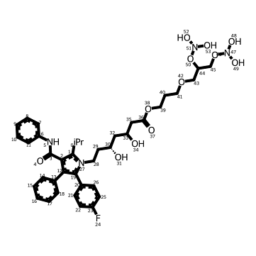 CC(C)c1c(C(=O)Nc2ccccc2)c(-c2ccccc2)c(-c2ccc(F)cc2)n1CC[C@@H](O)CC(O)CC(=O)OCCCOCC(CON(O)O)ON(O)O